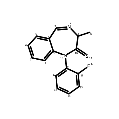 CC1N=Cc2ccccc2N(c2ccccc2F)C1=S